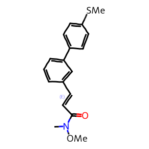 CON(C)C(=O)/C=C/c1cccc(-c2ccc(SC)cc2)c1